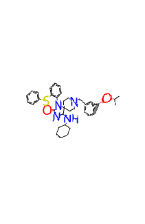 CC(C)Oc1cccc(CN2CCC3(CC2)C(NC2CCCCC2)=NC(=O)N3c2ccccc2Sc2ccccc2)c1